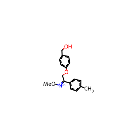 CO/N=C(\COc1ccc(CO)cc1)c1ccc(C)cc1